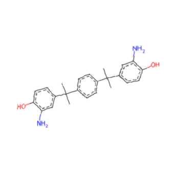 CC(C)(c1ccc(C(C)(C)c2ccc(O)c(N)c2)cc1)c1ccc(O)c(N)c1